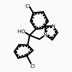 OC(Cn1ccnc1)(c1cccc(Cl)c1)c1cccc(Cl)c1